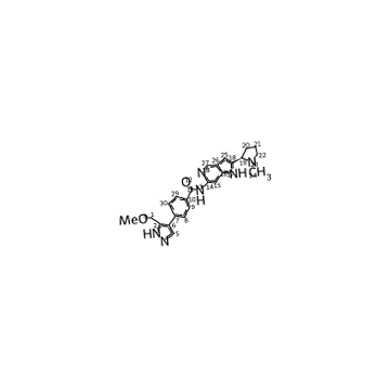 COCc1[nH]ncc1-c1ccc(C(=O)Nc2cc3[nH]c([C@H]4CCCN4C)cc3cn2)cc1